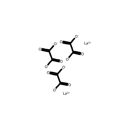 O=C([O-])C(=O)[O-].O=C([O-])C(=O)[O-].O=C([O-])C(=O)[O-].[La+3].[La+3]